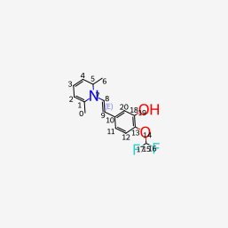 CC1=CC=CC(C)N1/C=C/c1ccc(OC(F)F)c(O)c1